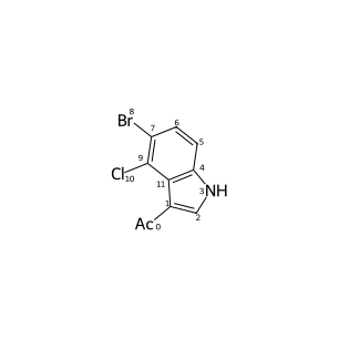 CC(=O)c1c[nH]c2ccc(Br)c(Cl)c12